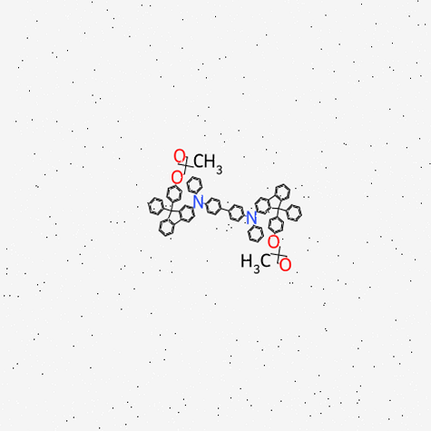 CCC1(COc2ccc(C3(c4ccccc4)c4ccccc4-c4ccc(N(c5ccccc5)c5ccc(-c6ccc(N(c7ccccc7)c7ccc8c(c7)C(c7ccccc7)(c7ccc(OCC9(CC)COC9)cc7)c7ccccc7-8)cc6)cc5)cc43)cc2)COC1